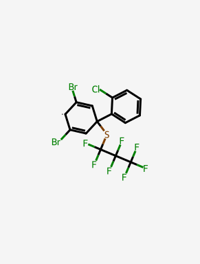 FC(F)(F)C(F)(F)C(F)(F)SC1(c2ccccc2Cl)C=C(Br)[CH]C(Br)=C1